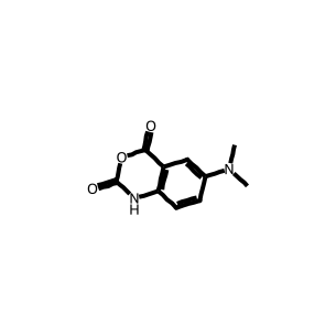 CN(C)c1ccc2[nH]c(=O)oc(=O)c2c1